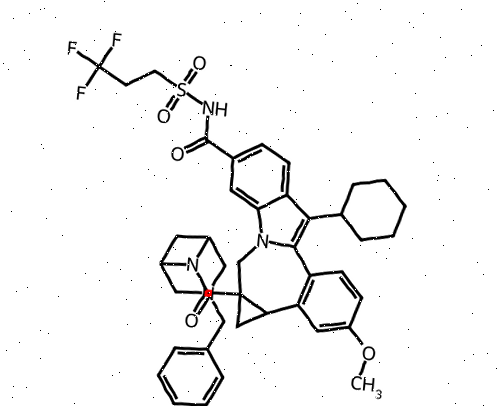 COc1ccc2c(c1)C1CC1(C(=O)N1C3CC1CN(Cc1ccccc1)C3)Cn1c-2c(C2CCCCC2)c2ccc(C(=O)NS(=O)(=O)CCC(F)(F)F)cc21